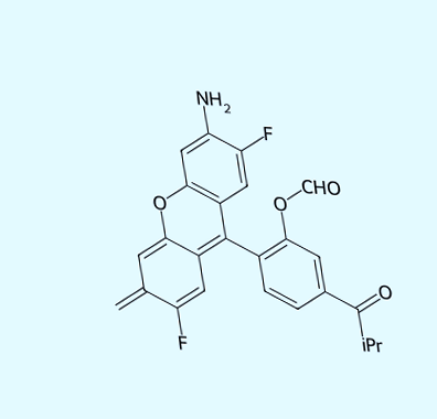 C=c1cc2c(cc1F)=C(c1ccc(C(=O)C(C)C)cc1OC=O)c1cc(F)c(N)cc1O2